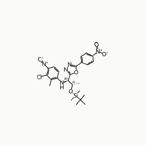 [C-]#[N+]c1ccc(N[C@@H](c2nnc(-c3ccc([N+](=O)[O-])cc3)o2)[C@H](C)O[Si](C)(C)C(C)(C)C)c(C)c1Cl